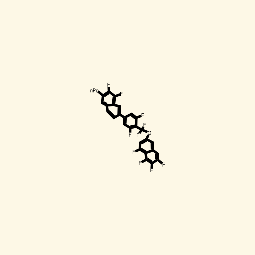 CCCc1cc2ccc(-c3cc(F)c(C(F)(F)Oc4cc(F)c5c(F)c(F)c(F)cc5c4)c(F)c3)cc2c(F)c1F